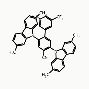 Cc1ccc2c3ccc(C)cc3n(-c3cc(-c4cc(C(F)(F)F)cc(C(F)(F)F)c4)c(-n4c5cc(C)ccc5c5ccc(C)cc54)cc3C#N)c2c1